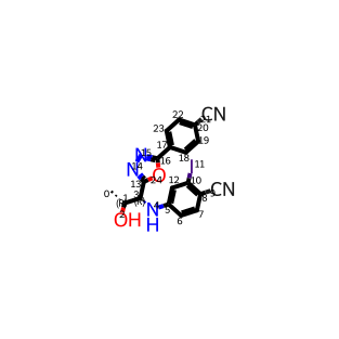 C[C@@H](O)[C@@H](Nc1ccc(C#N)c(I)c1)c1nnc(-c2ccc(C#N)cc2)o1